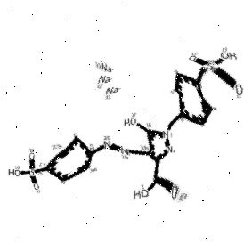 O=C(O)c1nn(-c2ccc(S(=O)(=O)O)cc2)c(O)c1N=Nc1ccc(S(=O)(=O)O)cc1.[Na].[Na].[Na]